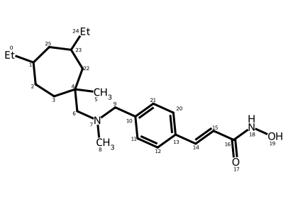 CCC1CCC(C)(CN(C)Cc2ccc(/C=C/C(=O)NO)cc2)CC(CC)C1